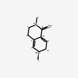 C[C@H]1C=C2CCN(C)C(=O)C2=CC1